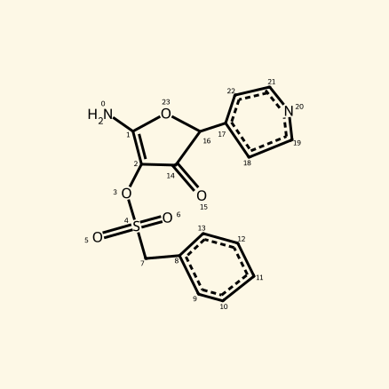 NC1=C(OS(=O)(=O)Cc2ccccc2)C(=O)C(c2ccncc2)O1